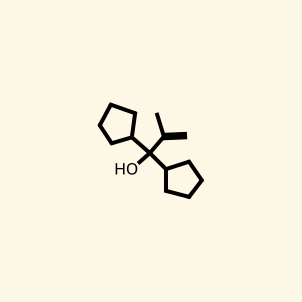 C=C(C)C(O)(C1CCCC1)C1CCCC1